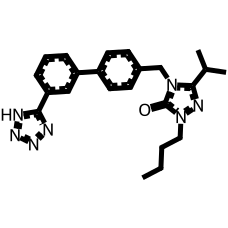 CCCCn1nc(C(C)C)n(Cc2ccc(-c3cccc(-c4nnn[nH]4)c3)cc2)c1=O